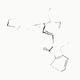 COc1ccc(N2C(=O)c3cnccc3C2C)cc1OCC1CCCC1